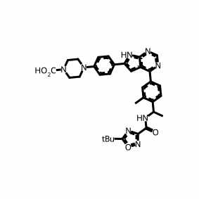 Cc1cc(-c2ncnc3[nH]c(-c4ccc(N5CCN(C(=O)O)CC5)cc4)cc23)ccc1C(C)NC(=O)c1noc(C(C)(C)C)n1